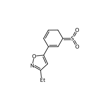 CCc1cc(C2=CC(=S(=O)=O)CC=C2)on1